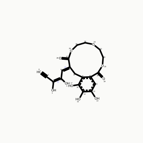 C#C/C(O)=C(O)\C=C1/Cc2c(cc(O)c(O)c2O)C(=O)OCCOCCOC1=O